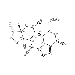 COC[C@@H]1OC(=O)c2coc3c2[C@]1(C)C1=C(C3=O)[C@H]2CCC(=O)[C@]2(C)C[C@@H]1OC(C)=O